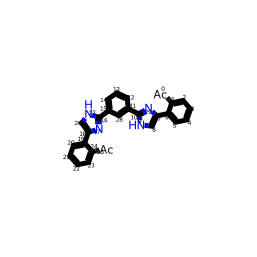 CC(=O)c1ccccc1-c1c[nH]c(-c2cccc(-c3nc(-c4ccccc4C(C)=O)c[nH]3)c2)n1